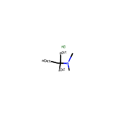 CCCCCCCCC(CCCCCCCC)(CCCCCCCC)N(C)C.Cl